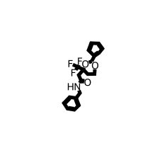 O=C(CC1(C(F)(F)F)CCOC(c2ccccc2)O1)NCc1ccccc1